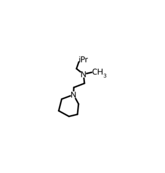 CC(C)CN(C)CCN1CCCCC1